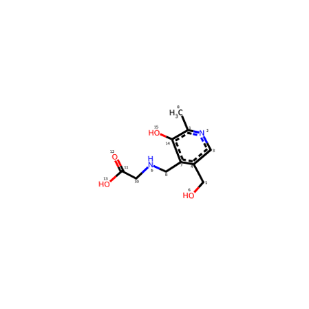 Cc1ncc(CO)c(CNCC(=O)O)c1O